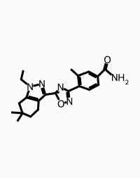 CCn1nc(-c2nc(-c3ccc(C(N)=O)cc3C)no2)c2c1CC(C)(C)CC2